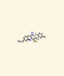 COc1ccc2cc(NCCc3ccc(Br)cc3)c(-c3ccsc3)nc2c1